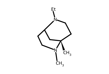 CCN1CC[C@@]2(C)CC1CCN2C